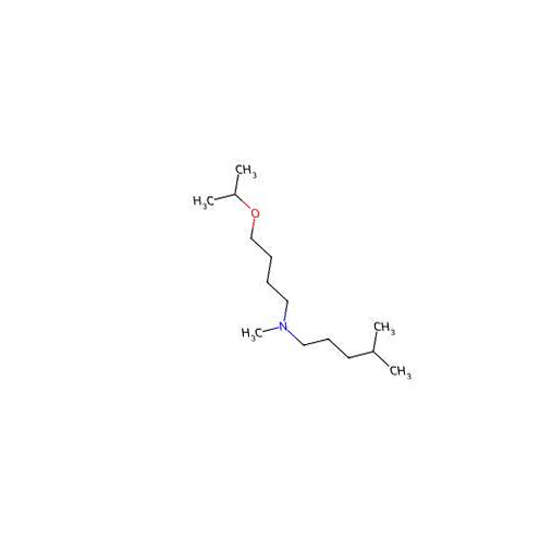 CC(C)CCCN(C)CCCCOC(C)C